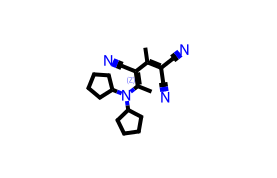 CC(=C(C#N)C#N)/C(C#N)=C(\C)N(C1CCCC1)C1CCCC1